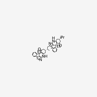 CC[C@@]1(c2ccccc2)C2=C(C[C@@H](C(C)Cc3nc4c(s3)[C@](CC)(c3ccccc3)C3=C(C[C@H](C(C)C)CC3=O)N4)CC2=O)Nc2ncsc21